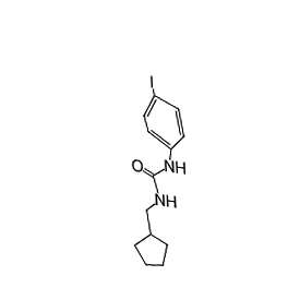 O=C(NCC1CCCC1)Nc1ccc(I)cc1